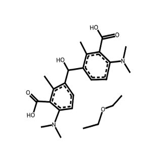 CCOCC.Cc1c(C(O)c2ccc(N(C)C)c(C(=O)O)c2C)ccc(N(C)C)c1C(=O)O